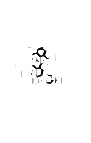 Cc1nnc(N[C@H](C)c2cccc(C(F)F)c2)c2cc(S3(C)CCN(C)CC3)c(=O)n(C)c12